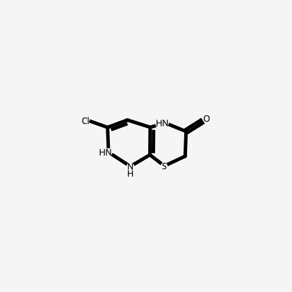 O=C1CSC2=C(C=C(Cl)NN2)N1